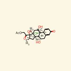 CC(=O)OCC(=O)[C@@]1(O)[C@H](C)C[C@H]2[C@@H]3[C@@H](O)CC4=CC(=O)C=C[C@]4(C)[C@@]3(Cl)[C@@H](O)C[C@@]21C